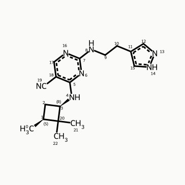 C[C@H]1C[C@@H](Nc2nc(NCCc3cn[nH]c3)ncc2C#N)C1(C)C